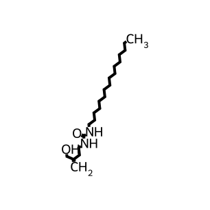 C=C(CO)CCNC(=O)NCCCCCCCCCCCCCCCC